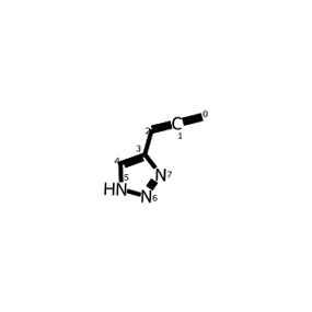 C=C=Cc1c[nH]nn1